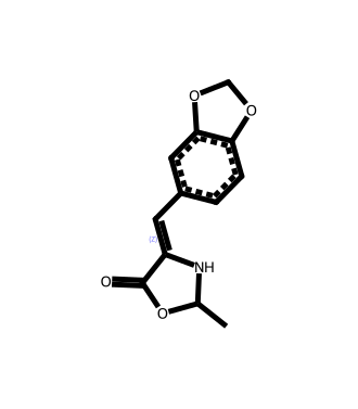 CC1N/C(=C\c2ccc3c(c2)OCO3)C(=O)O1